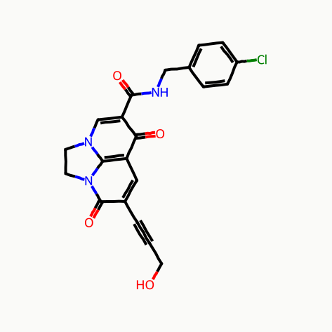 O=C(NCc1ccc(Cl)cc1)c1cn2c3c(cc(C#CCO)c(=O)n3CC2)c1=O